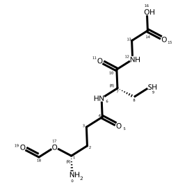 N[C@@H](CCC(=O)N[C@@H](CS)C(=O)NCC(=O)O)OC=O